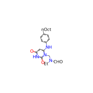 CCCCCCCCc1ccc(Nc2cc(=O)[nH]c(=O)n2CN(C=O)CC)cc1